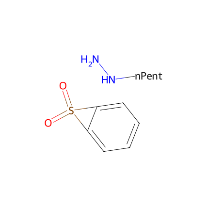 CCCCCNN.O=S1(=O)c2ccccc21